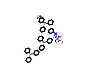 C[N+](=O)N=Nc1ccccc1.[Rh].c1ccc(P(c2ccccc2)c2ccccc2)cc1.c1ccc(P(c2ccccc2)c2ccccc2)cc1.c1ccc(P(c2ccccc2)c2ccccc2)cc1